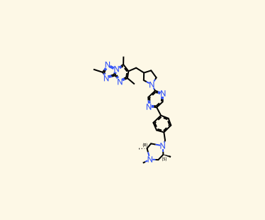 Cc1nc2nc(C)c(CC3CCN(c4cnc(-c5ccc(CN6C[C@@H](C)N(C)C[C@@H]6C)cc5)cn4)C3)c(C)n2n1